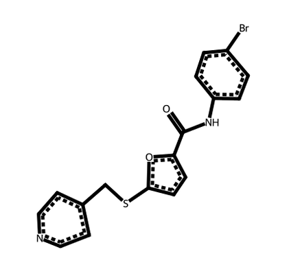 O=C(Nc1ccc(Br)cc1)c1ccc(SCc2ccncc2)o1